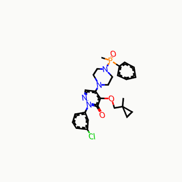 CC1(COc2c(N3CCN(P(C)(=O)c4ccccc4)CC3)cnn(-c3cccc(Cl)c3)c2=O)CC1